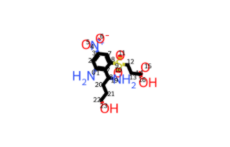 Nc1cc([N+](=O)[O-])cc(S(=O)(=O)CCC(=O)O)c1C(N)CCCO